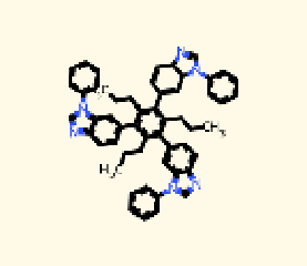 CCCc1c(C2=CC3C(C=C2)N=CN3c2ccccc2)c(CCC)c(-c2ccc3ncn(-c4ccccc4)c3c2)c(CCC)c1-c1ccc2ncn(-c3ccccc3)c2c1